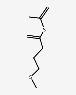 C=C(C)SC(=C)CCCSC